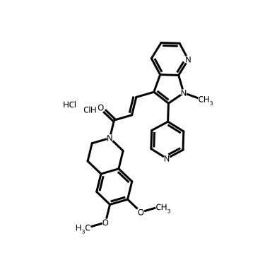 COc1cc2c(cc1OC)CN(C(=O)C=Cc1c(-c3ccncc3)n(C)c3ncccc13)CC2.Cl.Cl